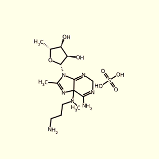 CC1=NC2(N(C)CCCN)C(N)=NCN=C2N1[C@@H]1O[C@H](C)[C@@H](O)[C@H]1O.O=S(=O)(O)O